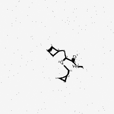 CNC(=O)C(CC1CCC1)OCC1CC1